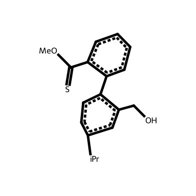 COC(=S)c1ccccc1-c1ccc(C(C)C)cc1CO